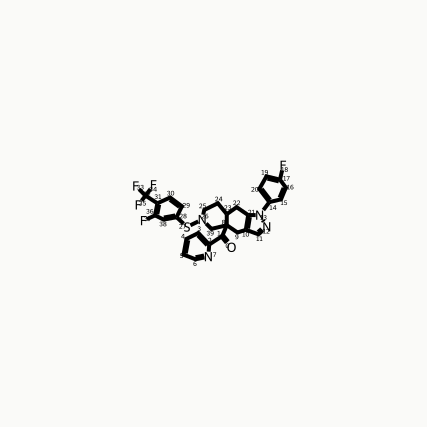 O=C(c1ccccn1)C12Cc3cnn(-c4ccc(F)cc4)c3CC1CCN(Sc1ccc(C(F)(F)F)c(F)c1)C2